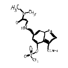 CN(C)C(=O)CNC1=CC2N=CC(C#N)=C2C(OS(=O)(=O)C(F)(F)F)=C1